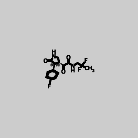 CC(F)(F)CNC(=O)C(=O)[C@H]1CNC(=O)[C@@H]1c1ccc(F)cc1